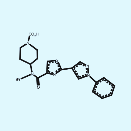 CC(C)N(C(=O)c1csc(-c2cnn(-c3ccccc3)c2)n1)C1CCN(C(=O)O)CC1